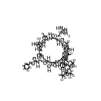 CC[C@H](C)[C@@H]1NC(=O)[C@@H](CCCNC(=N)N)NC(=O)[C@H](CC(C)C)NC(=O)[C@H]([C@H](O)C(C)C)NC(=O)[C@@H](NC(=O)[C@H](CC(C)(C)C)NC(=O)[C@@H](CC(C)(C)C)NC(=O)OC(C)(C)C)[C@@H](c2ccccc2)NC(=O)C(CO)NC(=O)[C@H](CCNC(=O)OCc2ccccc2)NC(=O)CNC(=O)[C@H]([C@H](C)O)NC1=O